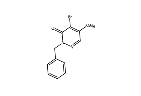 COc1cnn(Cc2ccccc2)c(=O)c1Br